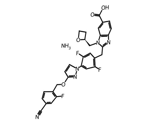 N.N#Cc1ccc(COc2ccn(-c3cc(F)c(Cc4nc5ccc(C(=O)O)cc5n4C[C@@H]4CCO4)cc3F)n2)c(F)c1